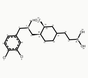 CN(Cc1ccc(Cl)c(Cl)c1)C[C@@H]1CCC(CCB(O)O)C[C@@H]1C(=O)O